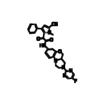 Cn1c(C#N)cc(-c2ccccc2)c1C(=O)C(=O)Nc1ccc2c(c1)OCC1CN(c3ncc(F)cn3)CCN21